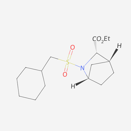 CCOC(=O)[C@@H]1[C@@H]2CC[C@@H](C2)N1S(=O)(=O)CC1CCCCC1